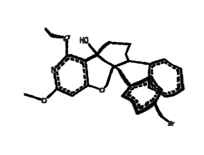 COc1cc2c(c(OC)n1)C1(O)CCC(c3ccccc3)C1(c1ccc(Br)cc1)O2